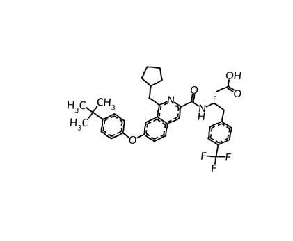 CC(C)(C)c1ccc(Oc2ccc3cc(C(=O)N[C@H](CC(=O)O)Cc4ccc(C(F)(F)F)cc4)nc(CC4CCCC4)c3c2)cc1